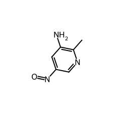 Cc1ncc(N=O)cc1N